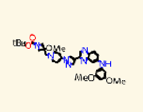 COc1cc(Nc2ccc3ncc(-c4cnn(C5CCN(CC6(OC)CN(C(=O)OC(C)(C)C)C6)CC5)c4)nc3c2)cc(OC)c1